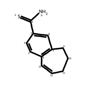 NC(=S)c1ccc2c(c1)CCCC=C2